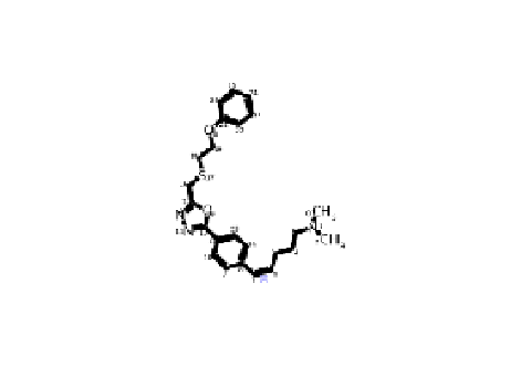 CN(C)CCC/C=C\c1ccc(-c2nnc(CSCCOc3ccccc3)o2)cc1